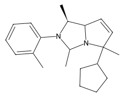 Cc1ccccc1N1C(C)N2C(C=CC2(C)C2CCCC2)[C@@H]1C